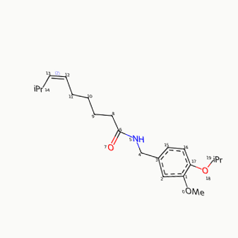 COc1cc(CNC(=O)CCCC/C=C\C(C)C)ccc1OC(C)C